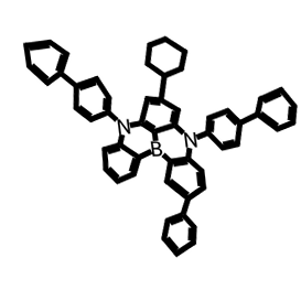 c1ccc(-c2ccc(N3c4ccccc4B4c5cc(-c6ccccc6)ccc5N(c5ccc(-c6ccccc6)cc5)c5cc(C6CCCCC6)cc3c54)cc2)cc1